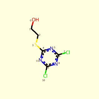 OCCSc1nc(Cl)nc(Cl)n1